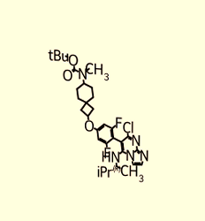 CC(C)[C@@H](C)Nc1c(-c2c(F)cc(OC3CC4(CCC(N(C)C(=O)OC(C)(C)C)CC4)C3)cc2F)c(Cl)nc2nccn12